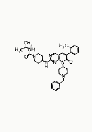 Cc1ccccc1-c1cc2cnc(NC3CCN(C(=O)NC(C)C)CC3)nc2n(C2CCN(Cc3ccccc3)CC2)c1=O